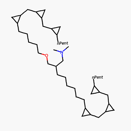 CCCCCC1CC1CC1CC1CC1CC1CCCCCCC(COCCCCCC1CC1CC1CC1CC1CC1CCCCC)CN(C)C